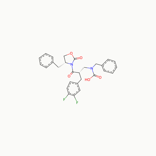 O=C(O)N(Cc1ccccc1)C[C@H](Cc1ccc(F)c(F)c1)C(=O)N1C(=O)OC[C@H]1Cc1ccccc1